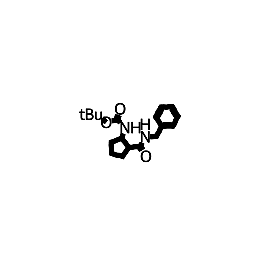 CC(C)(C)OC(=O)NC1CCCC1C(=O)NCc1ccccc1